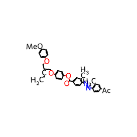 C=CCC(COc1ccc(OC)cc1)COc1ccc(OC(=O)c2ccc(N=Nc3ccc(C(C)=O)cc3C)c(C)c2)cc1